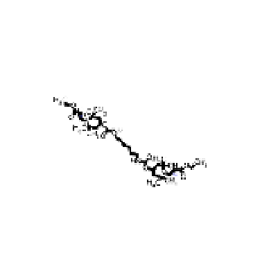 CCOC(=O)/C=C/N1C(C)(C)CC(OC(=O)NCCCCCCNC(=O)OC2CC(C)(C)N(/C=C/C(=O)OCC)C(C)(C)C2)CC1(C)C